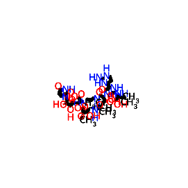 CO[C@@H]1C(OC(C(NCCCNC(=O)C(NC(=O)C(NC(=O)NC(C(=O)O)C(C)C)C2CCNC(=N)N2)C(O)C(C)C)C(=O)O)[C@H]2O[C@@H](n3ccc(=O)[nH]c3=O)[C@H](O)[C@H]2O)O[C@H](CNC(C)=O)[C@@H]1O